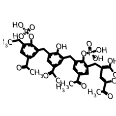 CCc1cc(C(C)=O)cc(Cc2cc(C(C)=O)cc(Cc3cc(C(C)=O)cc(CC(/C=C(\C)C(C)=O)=C(/C)O)c3OP(=O)(O)O)c2O)c1OP(=O)(O)O